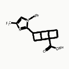 COC(=O)C12C3C4C1C1C2C3C41c1nc(C(F)(F)F)cn1C(C)C